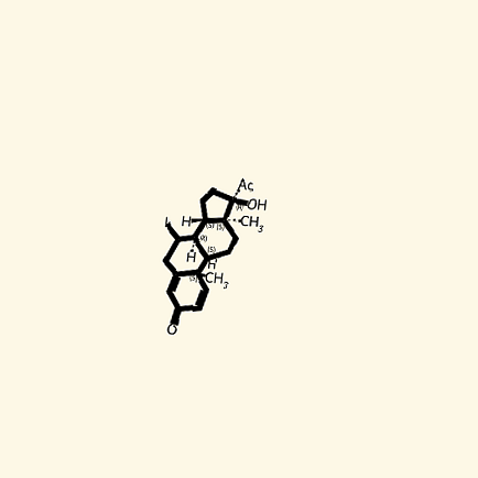 CC(=O)[C@@]1(O)CC[C@H]2[C@@H]3C(I)CC4=CC(=O)C=C[C@]4(C)[C@H]3CC[C@@]21C